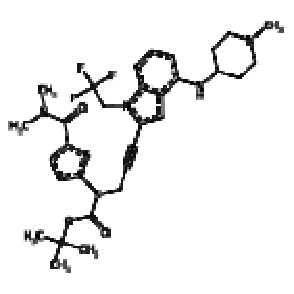 CN1CCC(Nc2cccc3c2cc(C#CCN(C(=O)OC(C)(C)C)c2ccc(C(=O)N(C)C)s2)n3CC(F)(F)F)CC1